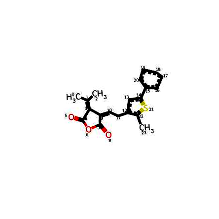 CC(C)=C1C(=O)OC(=O)C1=CCc1cc(-c2ccccc2)sc1C